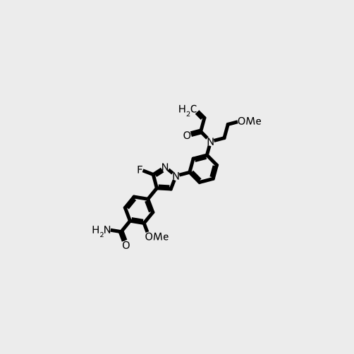 C=CC(=O)N(CCOC)c1cccc(-n2cc(-c3ccc(C(N)=O)c(OC)c3)c(F)n2)c1